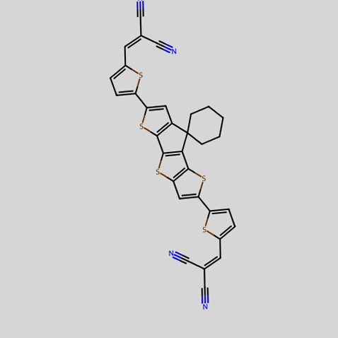 N#CC(C#N)=Cc1ccc(-c2cc3c(s2)-c2sc4cc(-c5ccc(C=C(C#N)C#N)s5)sc4c2C32CCCCC2)s1